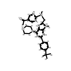 CC(=O)c1cnc(N(C)Cc2nc3c(N4CCOCC4)nc(-c4ccc(C(C)(C)C)cc4)nc3n2C)nc1